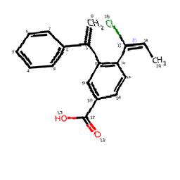 C=C(c1ccccc1)c1cc(C(=O)O)ccc1/C(Cl)=C\C